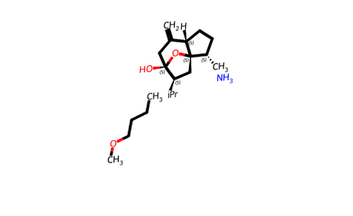 C=C1C[C@]2(O)O[C@@]3(C[C@H]2C(C)C)[C@@H](C)CC[C@@H]13.CCCCOC.N